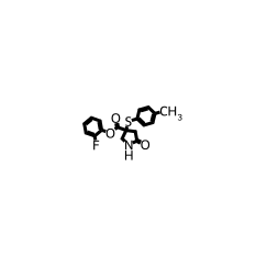 Cc1ccc(SC2(C(=O)Oc3ccccc3F)CNC(=O)C2)cc1